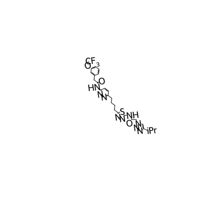 CC(C)c1cn(CC(=O)Nc2nnc(CCCCc3ccc(NC(=O)Cc4cccc(OC(F)(F)F)c4)nn3)s2)nn1